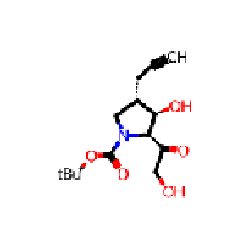 C#CC[C@H]1CN(C(=O)OC(C)(C)C)[C@H](C(=O)CO)[C@@H]1O